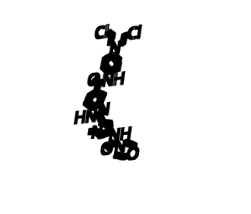 Cn1cc(NC(=O)N2CCOCC2)cc1-c1nc2cc(C(=O)Nc3ccc(N(CCCl)CCCl)cc3)ccc2[nH]1